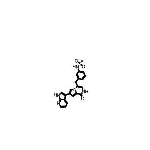 CS(=O)(=O)Nc1cccc(Cc2c[nH]c(=O)c3cc(-c4c[nH]c5ncccc45)cn23)c1